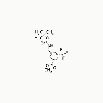 COC(=O)c1cc(CNC(=O)OC(C)(C)C)cc(C(F)(F)F)c1